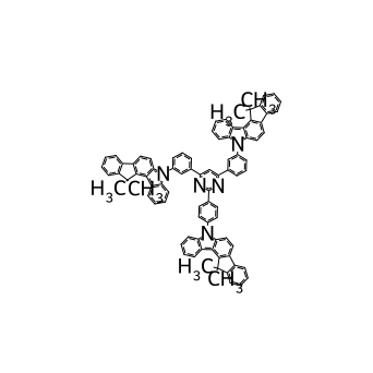 CC1(C)c2ccccc2-c2ccc3c(c21)c1ccccc1n3-c1ccc(-c2nc(-c3cccc(-n4c5ccccc5c5c6c(ccc54)-c4ccccc4C6(C)C)c3)cc(-c3cccc(-n4c5ccccc5c5c6c(ccc54)-c4ccccc4C6(C)C)c3)n2)cc1